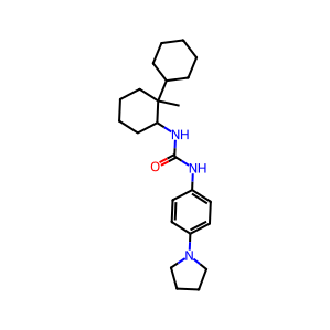 CC1(C2CCCCC2)CCCCC1NC(=O)Nc1ccc(N2CCCC2)cc1